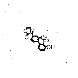 O=C1OCC=NN1c1ccc(-c2cccc(O)c2F)c(C(F)(F)F)c1